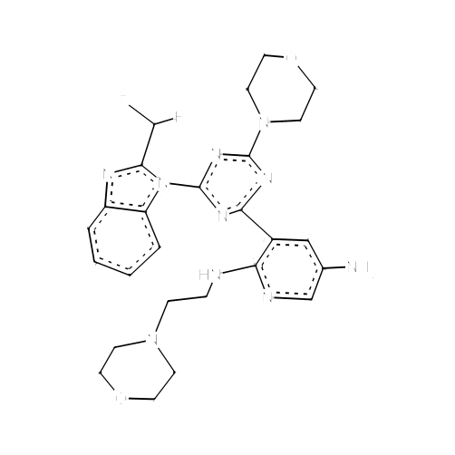 Nc1cnc(NCCN2CCOCC2)c(-c2nc(N3CCOCC3)nc(-n3c(C(F)F)nc4ccccc43)n2)c1